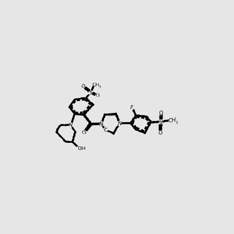 CS(=O)(=O)c1ccc(N2CCN(C(=O)c3cc(S(C)(=O)=O)ccc3N3CCCC(O)C3)CC2)c(F)c1